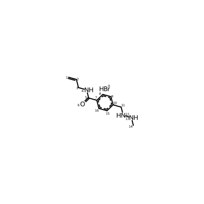 Br.C=CCNC(=O)c1ccc(CNNC)cc1